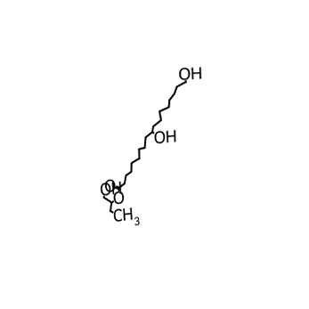 CCC(CO)OC(=O)CCCCCCCCC(O)CCCCCCCCO